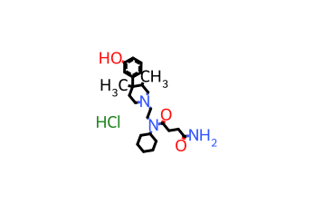 CC1CN(CCN(C(=O)CCC(N)=O)C2CCCCC2)CCC1(C)c1cccc(O)c1.Cl